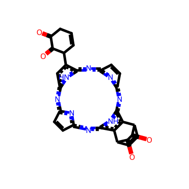 O=C1CC=CC(c2cc3nc4nc(nc5[nH]c(nc6nc(nc2[nH]3)C=C6)c2c5C3C=CC2C(=O)C3=O)C=C4)C1=O